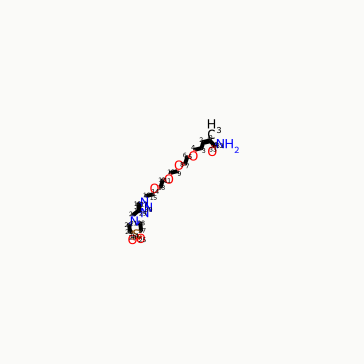 CC(=CCCOCCOCCOCCOCCn1cc(CN2CCS(=O)(=O)CC2)nn1)C(N)=O